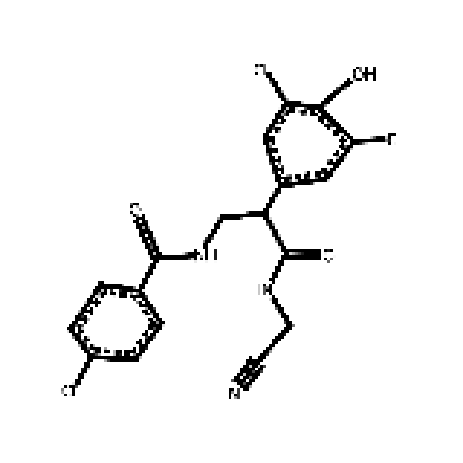 N#CCNC(=O)C(CNC(=O)c1ccc(Cl)cc1)c1cc(Cl)c(O)c(Cl)c1